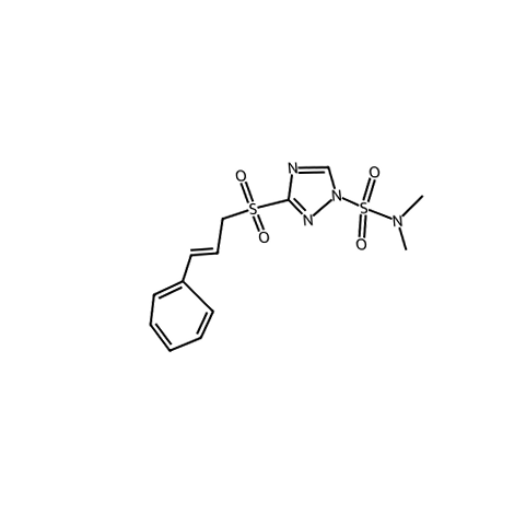 CN(C)S(=O)(=O)n1cnc(S(=O)(=O)CC=Cc2ccccc2)n1